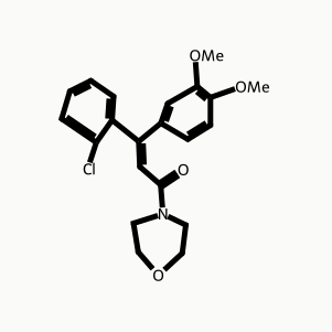 COc1ccc(/C(=C\C(=O)N2CCOCC2)c2ccccc2Cl)cc1OC